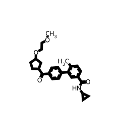 COCCOC1CCC(C(=O)c2ccc(-c3cc(C(=O)NC4CC4)ccc3C)cc2)C1